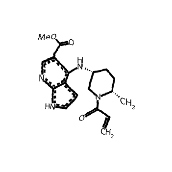 C=CC(=O)N1C[C@H](Nc2c(C(=O)OC)cnc3[nH]ccc23)CC[C@@H]1C